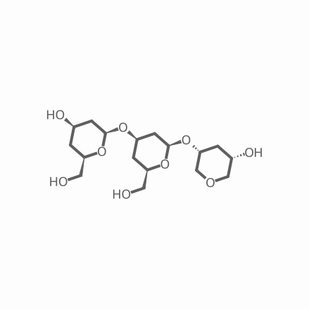 OC[C@H]1C[C@@H](O)C[C@@H](O[C@@H]2C[C@H](CO)O[C@H](O[C@H]3COC[C@@H](O)C3)C2)O1